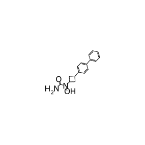 NC(=O)N(O)C1CC(c2ccc(-c3ccccc3)cc2)C1